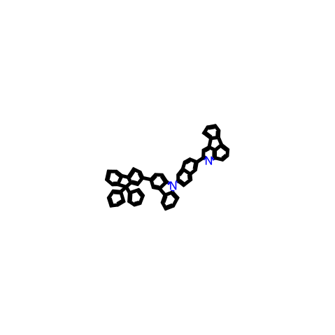 c1ccc(C2(c3ccccc3)c3ccccc3-c3ccc(-c4ccc5c(c4)c4ccccc4n5-c4ccc5cc(-c6cc7c8c(cccc8n6)-c6ccccc6-7)ccc5c4)cc32)cc1